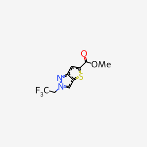 COC(=O)c1cc2nn(CC(F)(F)F)cc2s1